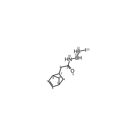 O=C(CC1CC2C=CC1C2)NBBI